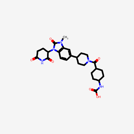 Cn1c(=O)n(C2CCC(=O)NC2=O)c2ccc(C3CCN(C(=O)C4CCC(NC(=O)O)CC4)CC3)cc21